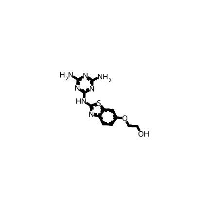 Nc1nc(N)nc(Nc2nc3ccc(OCCO)cc3s2)n1